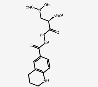 CCCCC[C@H](CN(O)C=O)C(=O)NNC(=O)c1ccc2c(c1)CCCN2